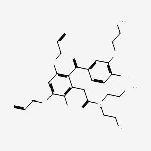 C=CCOc1cc(OCC=C)c(C(=O)c2ccc(OC)c(OCCOC)c2)c(CC(=O)N(CCO)CCOC)c1CC